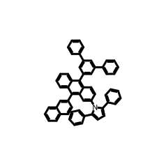 c1ccc(-c2cc(-c3ccccc3)cc(-c3c4ccccc4c(-c4ccc5ccccc5c4)c4cc(-n5c(-c6ccccc6)ccc5-c5ccccc5)ccc34)c2)cc1